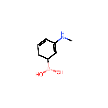 CNC1=CC(B(O)O)CC=C1